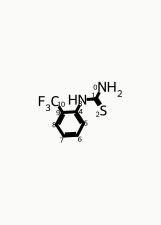 NC(=S)Nc1ccccc1C(F)(F)F